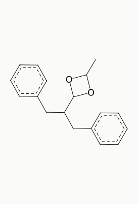 CC1OC(C(Cc2ccccc2)Cc2ccccc2)O1